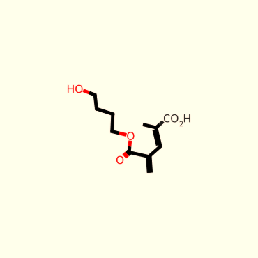 C=C(C=C(C)C(=O)O)C(=O)OCCCCO